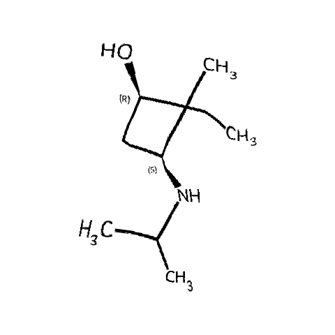 CC(C)N[C@H]1C[C@@H](O)C1(C)C